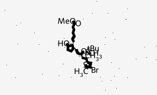 COC(=O)CCCC=CC[C@H]1C(O)CC[C@@H]1C=C[C@H](CCc1cc(Br)c(C)s1)O[Si](C)(C)C(C)(C)C